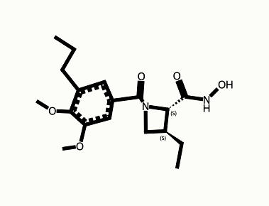 CCCc1cc(C(=O)N2C[C@H](CC)[C@H]2C(=O)NO)cc(OC)c1OC